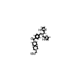 CC(C)(C)CN1CCC2(CC1)CCN(C(=O)c1ccc(CN(Cc3ncc[nH]3)Cc3ncc[nH]3)cc1)CC2